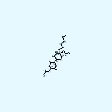 CCCCCC[C@]1(OCC)CC[C@@H](C2CCC(CCC)CC2)CC1